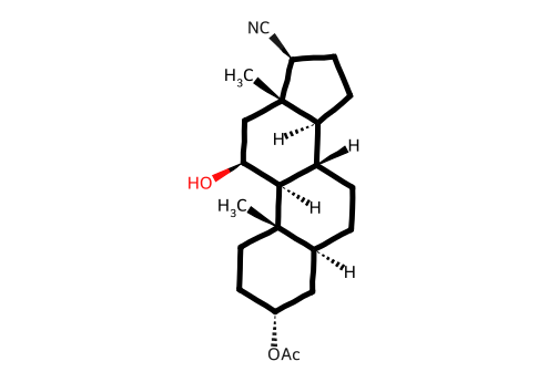 CC(=O)O[C@@H]1CC[C@@]2(C)[C@@H](CC[C@@H]3[C@@H]2[C@@H](O)C[C@]2(C)[C@@H](C#N)CC[C@@H]32)C1